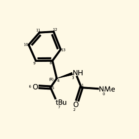 CNC(=O)N[C@@H](C(=O)C(C)(C)C)c1ccccc1